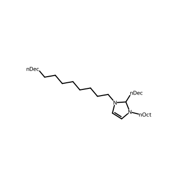 CCCCCCCCCCCCCCCCCCN1C=CN(CCCCCCCC)C1CCCCCCCCCC